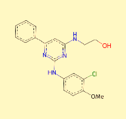 COc1ccc(Nc2nc(NCCO)cc(-c3ccccc3)n2)cc1Cl